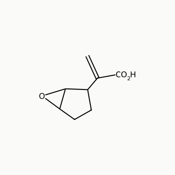 C=C(C(=O)O)C1CCC2OC21